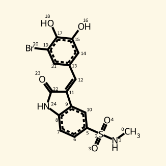 CNS(=O)(=O)c1ccc2c(c1)C(=Cc1cc(O)c(O)c(Br)c1)C(=O)N2